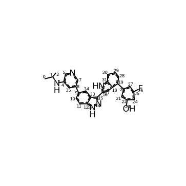 CC(C)Nc1cncc(-c2ccc3[nH]nc(-c4cc5c(-c6cc(O)cc(F)c6)cccc5[nH]4)c3c2)c1